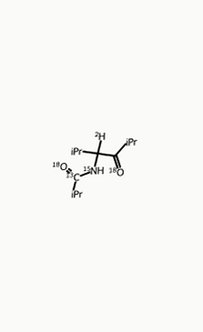 [2H]C([15NH][13C](=[18O])C(C)C)(C(=[18O])C(C)C)C(C)C